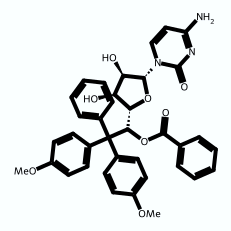 COc1ccc(C(c2ccccc2)(c2ccc(OC)cc2)C(OC(=O)c2ccccc2)[C@H]2O[C@@H](n3ccc(N)nc3=O)[C@H](O)[C@@H]2O)cc1